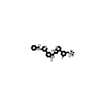 CS(=O)(=O)NCc1cc(F)cc(-c2ccnc3[nH]c(-c4n[nH]c5ccc(-c6cncc(NC(=O)c7ccccc7)c6)cc45)cc23)c1